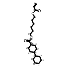 C=CC(=O)OCCCCCCOC(=O)C1CCC(C2CCCCC2)CC1